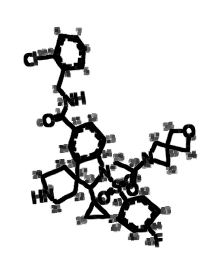 O=C(NCc1ccccc1Cl)c1ccc2c(c1)C1(CCNCC1)C(C1CC1)[N+]2(CC(=O)N1CC2(COC2)C1)S(=O)(=O)c1ccc(F)cc1